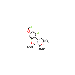 COC(=O)C(C(=O)OC)C(C[N+](=O)[O-])c1c(F)cc(OC(F)F)cc1F